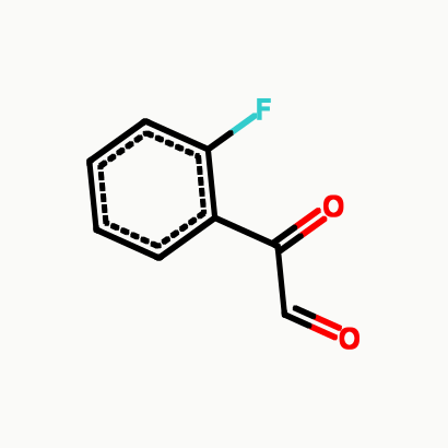 O=CC(=O)c1ccccc1F